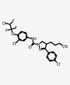 N#CCCCC1CN(C(=O)Nc2ccc(OC(F)(F)C(F)Cl)c(Cl)c2)N=C1c1ccc(Cl)cc1